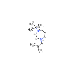 CC(C)CN1CCCN(C(C)(C)C)CC1